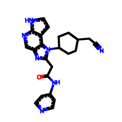 N#CCC1CCC(n2c(CC(=O)Nc3ccncc3)nc3cnc4[nH]ccc4c32)CC1